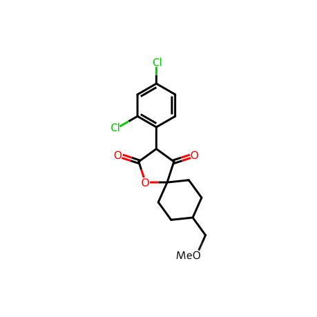 COCC1CCC2(CC1)OC(=O)C(c1ccc(Cl)cc1Cl)C2=O